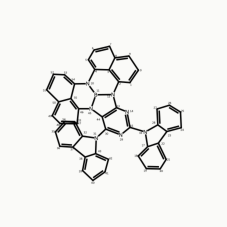 c1cc2c3c(cccc3c1)N1B3N2c2nc(-n4c5ccccc5c5ccccc54)nc(-n4c5ccccc5c5ccccc54)c2N3c2cccc3cccc1c23